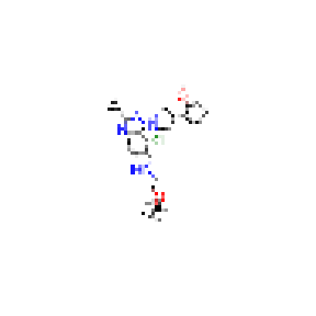 COc1ccccc1C1CCN(c2nc(C3CC3)nc3ccc(CNCCO[Si](C)(C)C(C)(C)C)c(Cl)c23)CC1